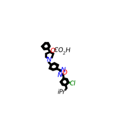 CC(C)Cc1ccc(-c2nc(-c3ccc(CN4CCC(OC(=O)O)(c5ccccc5)CC4)cc3)no2)cc1Cl